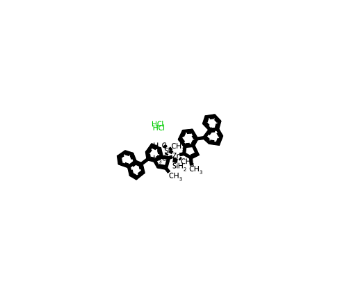 CC1=Cc2c(-c3cccc4ccccc34)cccc2[CH]1[Zr]([CH3])(=[SiH2])([CH]1C(C)=Cc2c(-c3cccc4ccccc34)cccc21)[Si](C)(C)C.Cl.Cl